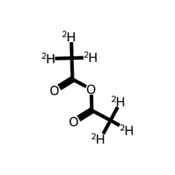 [2H]C([2H])([2H])C(=O)OC(=O)C([2H])([2H])[2H]